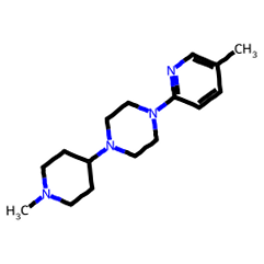 Cc1ccc(N2CCN(C3CCN(C)CC3)CC2)nc1